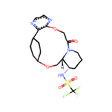 O=C1COc2nccnc2C2CCC(CC2)OC[C@H]2[C@@H](NS(=O)(=O)C(F)(F)F)CCCN12